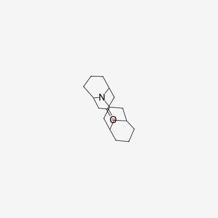 O=C1CC2CCCC(C1)N2C1CC2CCCC(C2)C1